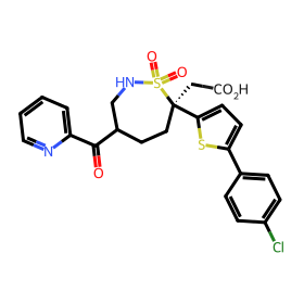 O=C(O)C[C@]1(c2ccc(-c3ccc(Cl)cc3)s2)CCC(C(=O)c2ccccn2)CNS1(=O)=O